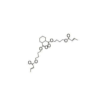 CC=CC(=O)OCCCCOC(=O)C1CCCCC1C(=O)OCCCCOC(=O)C=CC